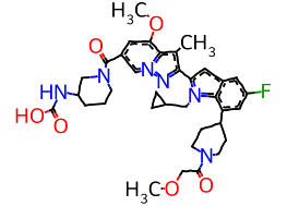 COCC(=O)N1CCC(c2cc(F)cc3cc(-c4nn5cc(C(=O)N6CCCC(NC(=O)O)C6)cc(OC)c5c4C)n(CC4CC4)c23)CC1